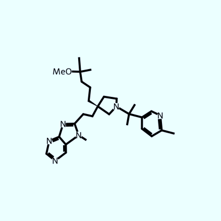 COC(C)(C)CCC[C@@]1(CCc2nc3ncncc3n2C)CCN(C(C)(C)c2ccc(C)nc2)C1